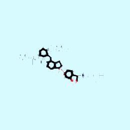 COc1ccc(OC)c(Cc2c(C(F)(F)F)ccc3c2CC[C@H]3Oc2ccc3c(c2)OC[C@H]3CC(=O)O)c1